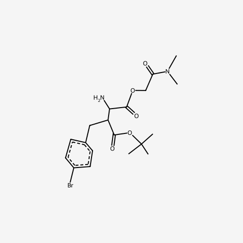 CN(C)C(=O)COC(=O)C(N)C(Cc1ccc(Br)cc1)C(=O)OC(C)(C)C